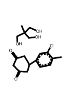 CC(CO)(CO)CO.Cc1ccc(C2CC(=O)CC(=O)C2)cc1Cl